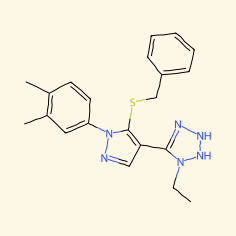 CCN1NNN=C1c1cnn(-c2ccc(C)c(C)c2)c1SCc1ccccc1